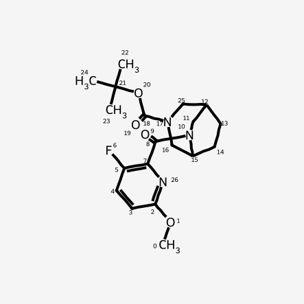 COc1ccc(F)c(C(=O)N2CC3CCC2CN(C(=O)OC(C)(C)C)C3)n1